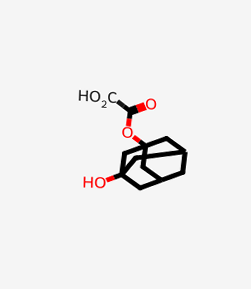 O=C(O)C(=O)OC12CC3CC(CC(O)(C3)C1)C2